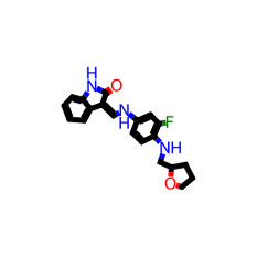 O=C1Nc2ccccc2C1=CNc1ccc(NCC2CCCO2)c(F)c1